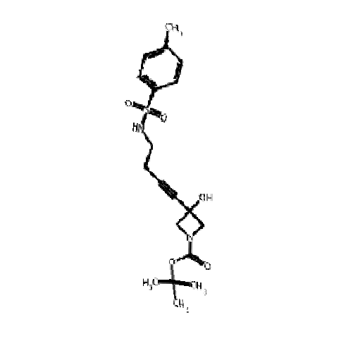 Cc1ccc(S(=O)(=O)NCCC#CC2(O)CN(C(=O)OC(C)(C)C)C2)cc1